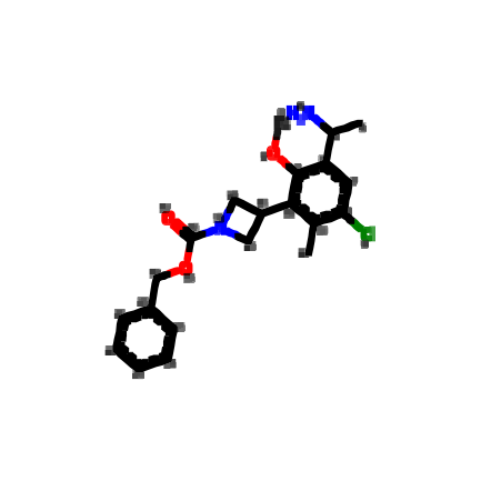 CCOc1c(C(C)N)cc(Cl)c(C)c1C1CN(C(=O)OCc2ccccc2)C1